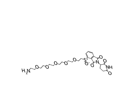 NCCOCCOCCOCCOCCOCC[S+]([O-])c1cccc2c1C(=O)N(C1CCC(=O)NC1=O)C2=O